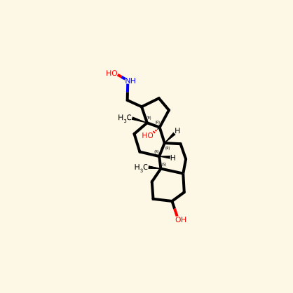 C[C@]12CCC(O)CC1CC[C@@H]1[C@H]2CC[C@]2(C)C(CNO)CC[C@@]12O